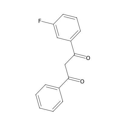 O=C(CC(=O)c1cccc(F)c1)c1ccccc1